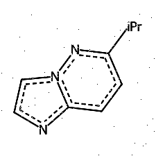 CC(C)c1ccc2nccn2n1